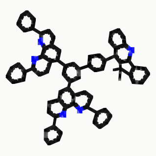 CC1(C)c2ccccc2-c2nc3ccccc3c(-c3ccc(-c4cc(-c5cc6ccc(-c7ccccc7)nc6c6nc(-c7ccccc7)ccc56)cc(-c5cc6ccc(-c7ccccc7)nc6c6nc(-c7ccccc7)ccc56)c4)cc3)c21